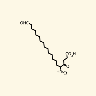 CCNC(CCCCCCCCCCCCCCC=O)C(=O)CCC(=O)O